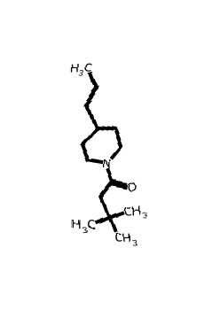 CCCC1CCN(C(=O)CC(C)(C)C)CC1